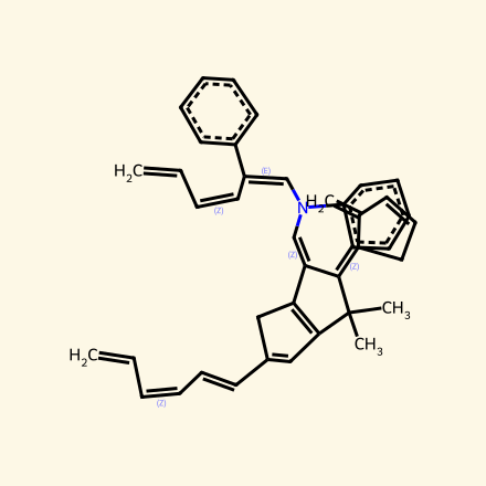 C=C/C=C\C=CC1=CC2=C(C1)C(=C/N(/C=C(\C=C/C=C)c1ccccc1)c1ccccc1)/C(=C1/CC=CC1=C)C2(C)C